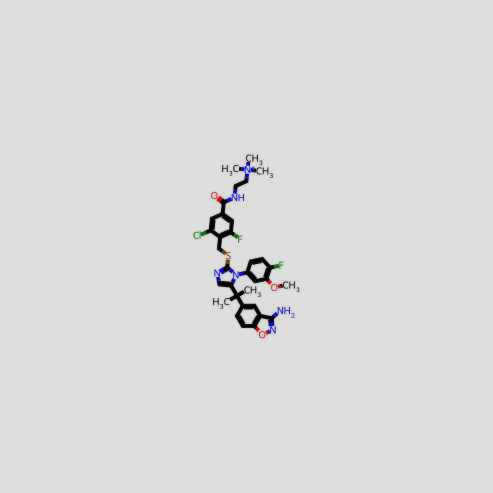 COc1cc(-n2c(C(C)(C)c3ccc4onc(N)c4c3)cnc2SCc2c(F)cc(C(=O)NCC[N+](C)(C)C)cc2Cl)ccc1F